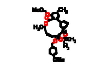 COCOc1cc(C)cc2c1C(=O)O[C@@H](C)C/C=C\C(OCc1ccc(OC)cc1)[C@H]1OC(C)(C)O[C@@H]1c1cccc-2c1